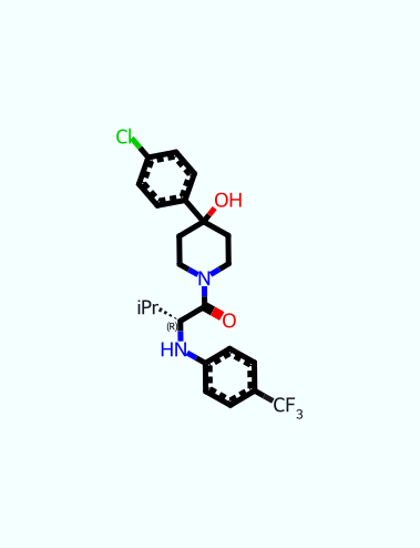 CC(C)[C@@H](Nc1ccc(C(F)(F)F)cc1)C(=O)N1CCC(O)(c2ccc(Cl)cc2)CC1